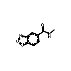 CNC(=O)c1ccc2nonc2c1